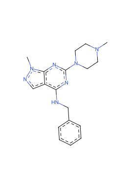 CN1CCN(c2nc(NCc3ccccc3)c3cnn(C)c3n2)CC1